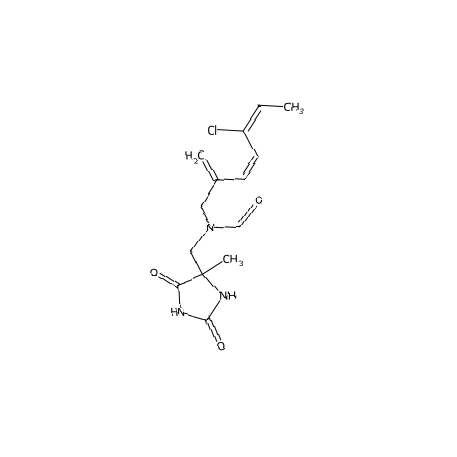 C=C(/C=C\C(Cl)=C/C)CN(C=O)CC1(C)NC(=O)NC1=O